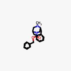 CN1CC2Cc3ccccc3CC1CN2C(=O)OCc1ccccc1